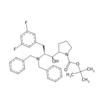 CC(C)(C)OC(=O)N1CCCC1[C@@H](O)[C@H](Cc1cc(F)cc(F)c1)N(Cc1ccccc1)Cc1ccccc1